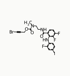 CN(CCNC(=O)c1ccc(F)c(F)c1Nc1ccc(I)cc1F)C(=O)OCC#CBr